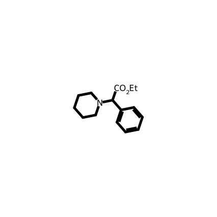 CCOC(=O)C(c1ccccc1)N1CCCCC1